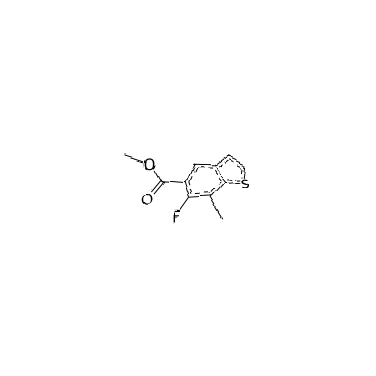 COC(=O)c1cc2ccsc2c(C)c1F